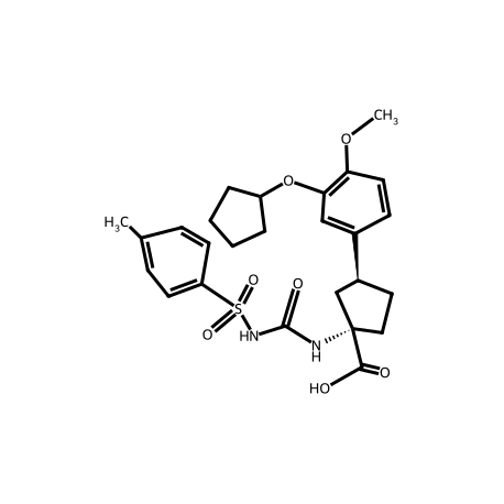 COc1ccc([C@H]2CC[C@@](NC(=O)NS(=O)(=O)c3ccc(C)cc3)(C(=O)O)C2)cc1OC1CCCC1